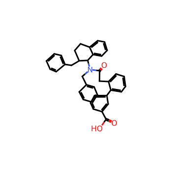 O=C(O)c1cccc(-c2ccccc2CC(=O)N(Cc2ccccc2)C2c3ccccc3CCC2Cc2ccccc2)c1